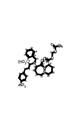 CCOC(=O)[C@H](CCc1ccc([N+](=O)[O-])cc1)N(Cc1ccccc1)[C@H]1CCCN2CCC[C@@H](C(=O)OCOC(=O)C(C)(C)C)N2C1=O